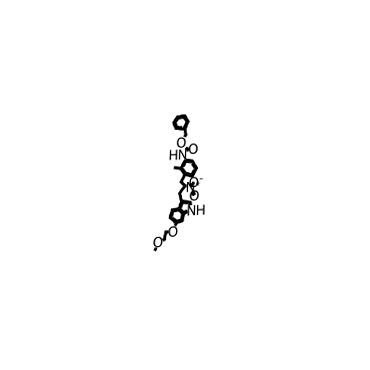 COCCOc1ccc2c(CC(Cc3cccc(NC(=O)OCc4ccccc4)c3C)[N+](=O)[O-])c[nH]c2c1